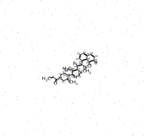 C=CC(=O)N1C[C@H](C)N(c2ncnc(/C(F)=C(\N=C)c3cccc4ccc(F)c(Cl)c34)c2C)[C@@H](C)C1